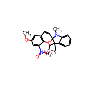 CCC1(CC)c2ccccc2N(C)C12C=Cc1cc(OC)cc([N+](=O)[O-])c1O2